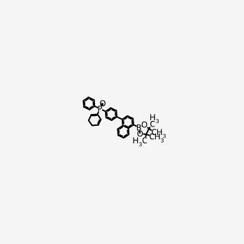 CC1(C)OB(c2ccc(-c3ccc(P(=O)(C4=CCCC=C4)c4ccccc4)cc3)c3ccccc23)OC1(C)C